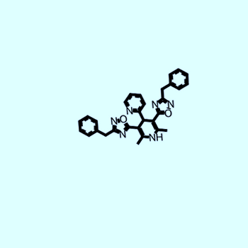 CC1=C(c2nc(Cc3ccccc3)no2)C(c2ccccn2)C(c2nc(Cc3ccccc3)no2)=C(C)N1